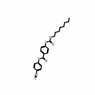 [C-]#[N+]c1ccc(OC(=O)c2ccc(OC(=O)OCCCCCCCC)cc2)cc1